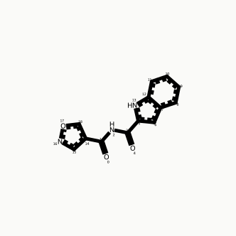 O=C(NC(=O)c1cc2ccccc2[nH]1)c1cnoc1